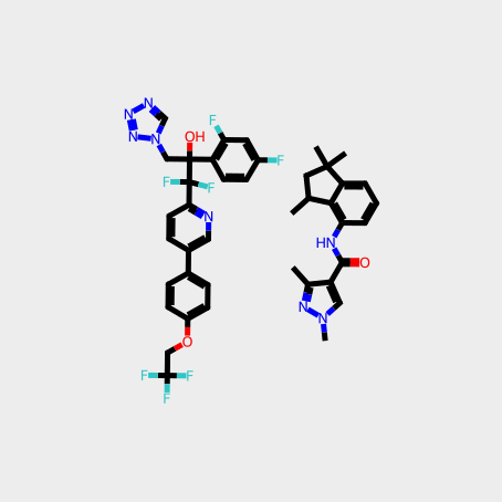 Cc1nn(C)cc1C(=O)Nc1cccc2c1C(C)CC2(C)C.OC(Cn1cnnn1)(c1ccc(F)cc1F)C(F)(F)c1ccc(-c2ccc(OCC(F)(F)F)cc2)cn1